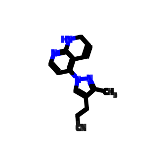 Cc1nn(-c2ccnc3c2C#CCN3)cc1CCC#N